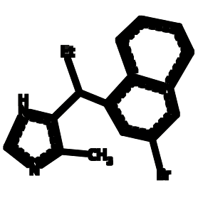 CCC(c1[nH]cnc1C)c1cc(Br)cc2ccccc12